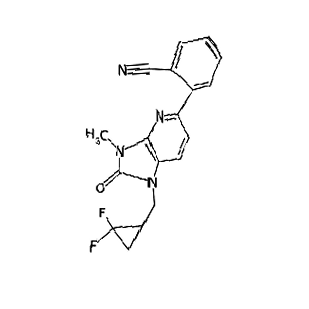 Cn1c(=O)n(CC2CC2(F)F)c2ccc(-c3ccccc3C#N)nc21